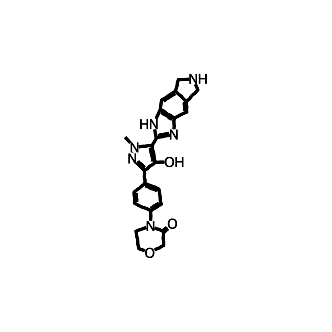 Cn1nc(-c2ccc(N3CCOCC3=O)cc2)c(O)c1-c1nc2cc3c(cc2[nH]1)CNC3